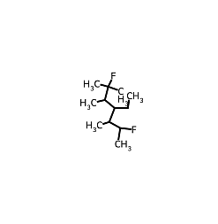 CCC(C(C)C(C)F)C(C)C(C)(C)F